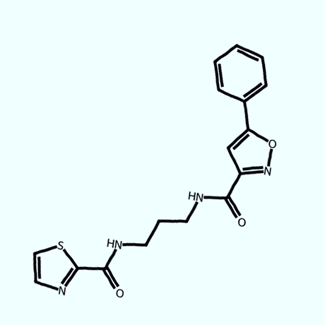 O=C(NCCCNC(=O)c1nccs1)c1cc(-c2ccccc2)on1